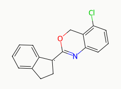 Clc1cccc2c1COC([C]1CCc3ccccc31)=N2